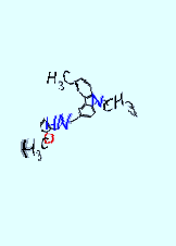 CCn1c2ccc(C)cc2c2cc(CNCc3ccccc3OC)ccc21